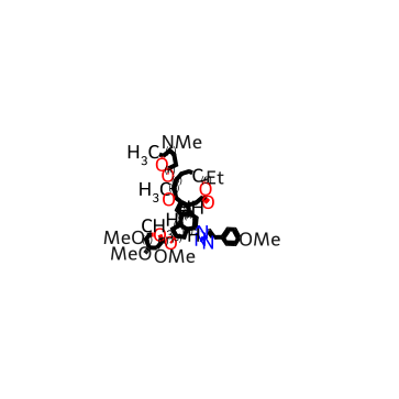 CC[C@H]1CCC[C@H](O[C@H]2CC[C@H](NC)C(C)O2)[C@@H](C)C(=O)C2=C[C@@H]3[C@@H](C=C(n4cc(-c5ccc(OC)cc5)nn4)[C@@H]4C[C@@H](O[C@@H]5OC(C)[C@H](OC)C(OC)C5OC)C[C@@H]34)[C@@H]2CC(=O)O1